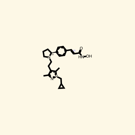 Cc1nn(CC2CC2)c(C)c1CCN1CCC[C@H]1c1ccc(/C=C/C(=O)NO)cc1